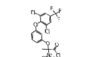 CC(Oc1cccc(Oc2c(Cl)cc(C(F)(F)F)cc2Cl)c1)(C(=O)Cl)[N+](=O)[O-]